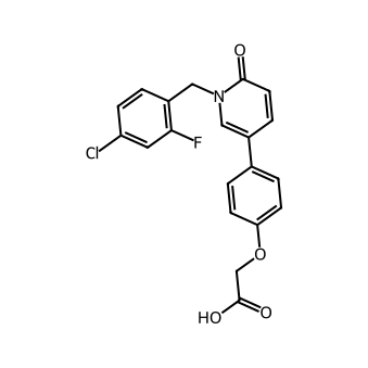 O=C(O)COc1ccc(-c2ccc(=O)n(Cc3ccc(Cl)cc3F)c2)cc1